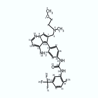 COCCN(C)Cc1cn2ncnc(N)c2c1-c1ccc(NC(=O)Nc2cc(C(F)(F)F)ccc2F)cc1